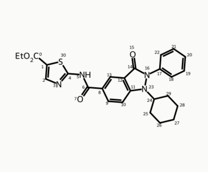 CCOC(=O)c1cnc(NC(=O)c2ccc3c(c2)c(=O)n(-c2ccccc2)n3C2CCCCC2)s1